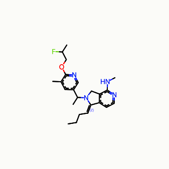 CCC/C=C1/c2ccnc(NC)c2CN1C(C)c1cnc(OCC(C)F)c(C)c1